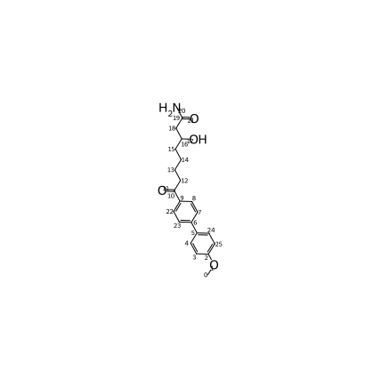 COc1ccc(-c2ccc(C(=O)CCCCC(O)CC(N)=O)cc2)cc1